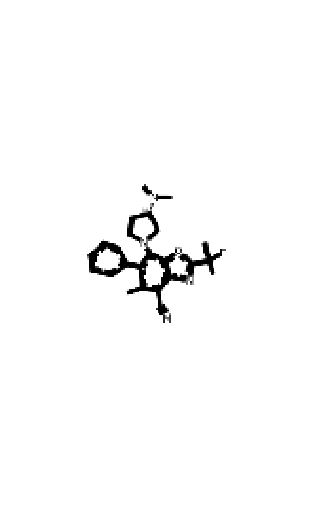 Cc1c(-c2ccccc2)c(N2CC[C@H](N(C)C)C2)c2oc(C(C)(C)F)nc2c1C#N